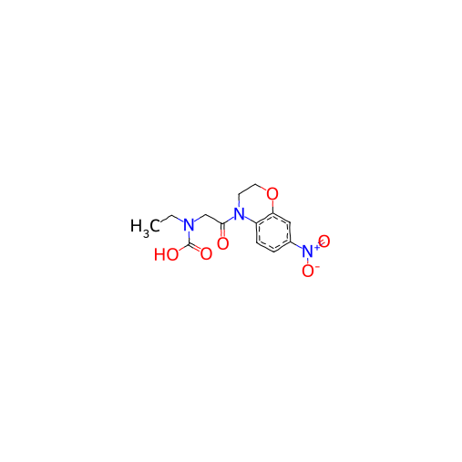 CCN(CC(=O)N1CCOc2cc([N+](=O)[O-])ccc21)C(=O)O